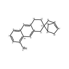 CCC(C)c1cccc2cc3c(cc12)CC1(CC3)CC2=CCC1C2